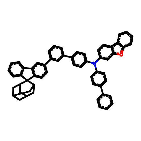 c1ccc(-c2ccc(N(c3ccc(-c4cccc(-c5ccc6c(c5)-c5ccccc5C65C6CC7CC(C6)CC5C7)c4)cc3)c3ccc4c(c3)oc3ccccc34)cc2)cc1